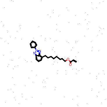 C=CC(=O)OCCCCCCCCc1cccc2nn(-c3ccccc3)nc12